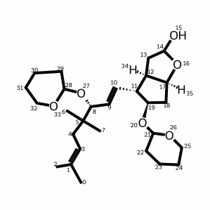 CC(C)=CCC(C)(C)[C@@H](/C=C/[C@@H]1[C@H]2CC(O)O[C@H]2C[C@H]1OC1CCCCO1)OC1CCCCO1